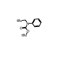 [CH2]C(C)(C)CN(C(=O)OC(C)(C)C)c1ccccc1